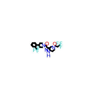 O=C(CC(F)(F)F)N1CCc2[nH]nc(C(=O)N3CCC(c4ccccc4C(F)(F)F)CC3)c2C1